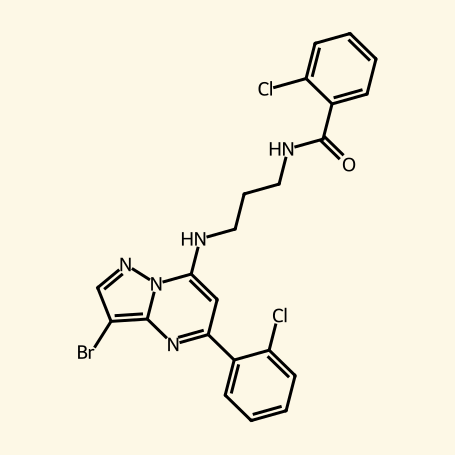 O=C(NCCCNc1cc(-c2ccccc2Cl)nc2c(Br)cnn12)c1ccccc1Cl